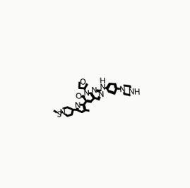 CSN1CCC(C2=NC(c3cc4cnc(Nc5ccc(N6CCNCC6)cc5)nc4n(C4CCOC4)c3=O)=C(C)C2)CC1